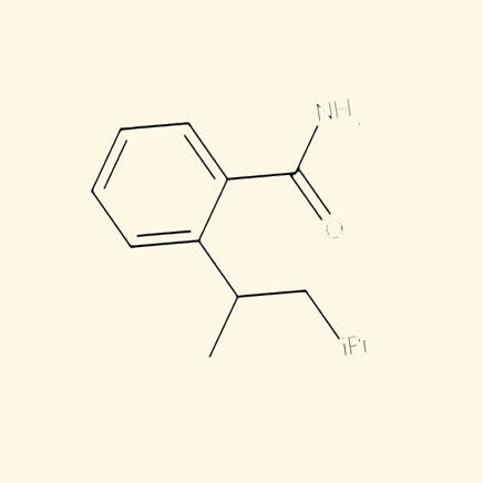 CC(C)CC(C)c1ccccc1C(N)=O